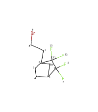 FC1(F)C2CCC(CCBr)(C2)C1(F)F